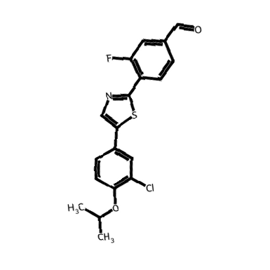 CC(C)Oc1ccc(-c2cnc(-c3ccc(C=O)cc3F)s2)cc1Cl